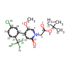 COc1cn(CC(=O)OC(C)(C)C)c(=O)cc1-c1cc(Cl)ccc1C(F)(F)F